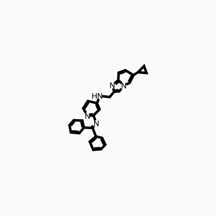 c1ccc(C(=Nc2cc(NCc3cn4cc(C5CC5)ccc4n3)ccn2)c2ccccc2)cc1